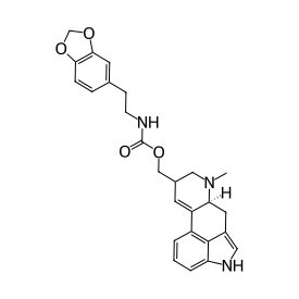 CN1CC(COC(=O)NCCc2ccc3c(c2)OCO3)C=C2c3cccc4[nH]cc(c34)C[C@@H]21